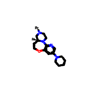 CC(C)N1CCN2c3ncc(N4CCCCC4)cc3OCC[C@H]2C1